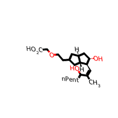 CCCCCC(O)C(C)=C[C@H]1[C@@H]2CC(CCOCC(=O)O)C[C@H]2C[C@@H]1O